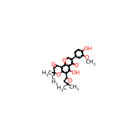 COc1cc(-c2coc3c4c(c(C5CC(C)(C)O5)c(O)c3c2=O)OC(C)(C)C2OC42)ccc1O